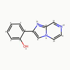 Oc1ccccc1-c1cn2ccncc2n1